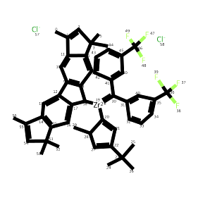 CC1=CC(C)(C)c2cc3c(cc21)-c1cc2c(cc1[CH]3[Zr+2]([C]1=CC(C(C)(C)C)=CC1C)=[C](c1cccc(C(F)(F)F)c1)c1cccc(C(F)(F)F)c1)C(C)(C)C=C2C.[Cl-].[Cl-]